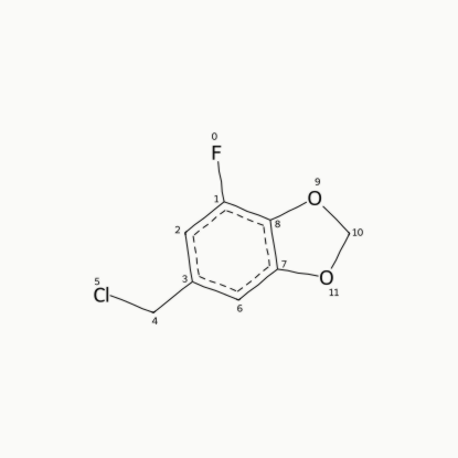 Fc1cc(CCl)cc2c1OCO2